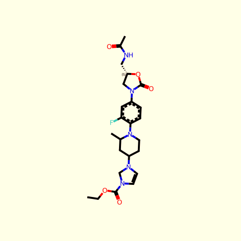 CCOC(=O)N1C=CN(C2CCN(c3ccc(N4C[C@H](CNC(C)=O)OC4=O)cc3F)C(C)C2)C1